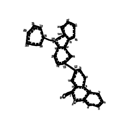 O=c1oc2ccccc2c2ccc(-c3ccc4c(c3)c3ccccc3n4-c3ccccc3)cc12